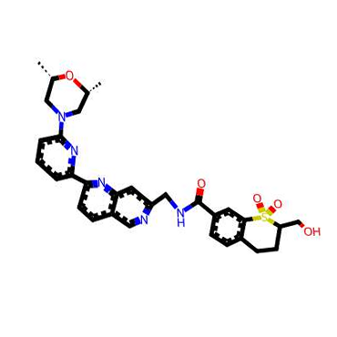 C[C@@H]1CN(c2cccc(-c3ccc4cnc(CNC(=O)c5ccc6c(c5)S(=O)(=O)C(CO)CC6)cc4n3)n2)C[C@H](C)O1